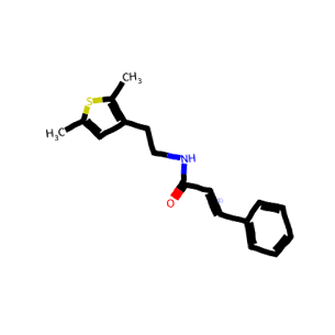 Cc1cc(CCNC(=O)/C=C/c2ccccc2)c(C)s1